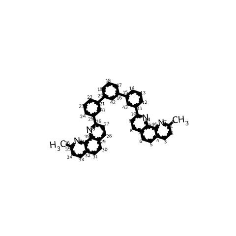 Cc1ccc2ccc3ccc(-c4cccc(-c5cccc(-c6cccc(-c7ccc8ccc9ccc(C)nc9c8n7)c6)c5)c4)nc3c2n1